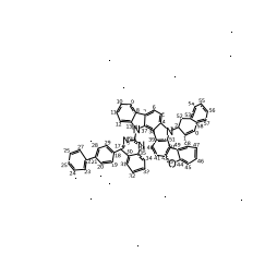 C1=CC(n2c3ccc4c5ccccc5n(-c5nc(-c6ccc(-c7ccccc7)cc6)c6ccccc6n5)c4c3c3ccc4oc5ccccc5c4c32)Cc2ccccc21